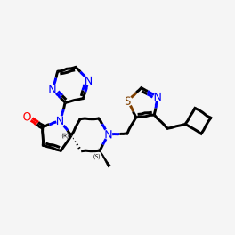 C[C@H]1C[C@@]2(C=CC(=O)N2c2cnccn2)CCN1Cc1scnc1CC1CCC1